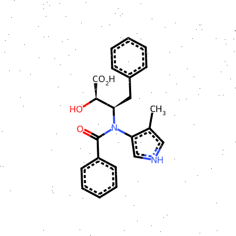 Cc1c[nH]cc1N(C(=O)c1ccccc1)[C@H](Cc1ccccc1)[C@@H](O)C(=O)O